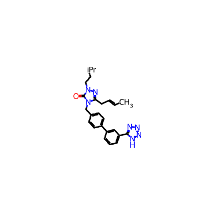 CC=CCc1nn(CCC(C)C)c(=O)n1Cc1ccc(-c2cccc(-c3nnn[nH]3)c2)cc1